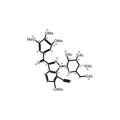 C#Cc1c(OC)ccc2c(C(=O)c3cc(OC)c(OC)c(OC)c3)nn([C@@H]3OC(COC(C)=O)[C@@H](OC(C)=O)[C@H](OC(C)=O)C3OC(C)=O)c12